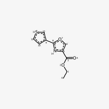 CCOC(=O)c1coc(-c2ccsc2)n1